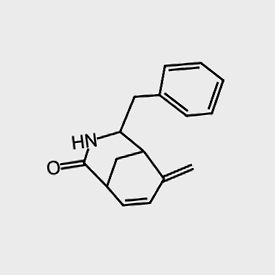 C=C1C=CC2CC1C(Cc1ccccc1)NC2=O